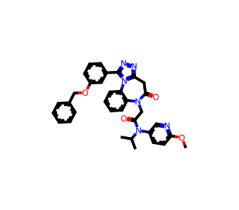 COc1ccc(N(C(=O)CN2C(=O)Cc3nnc(-c4cccc(OCc5ccccc5)c4)n3-c3ccccc32)C(C)C)cn1